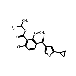 CSc1c(C(=O)c2cc(C3CC3)on2)ccc(Cl)c1C(=O)OC(C)C